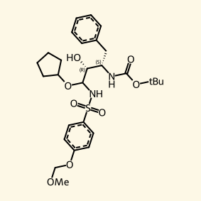 COCOc1ccc(S(=O)(=O)NC(OC2CCCC2)[C@H](O)[C@H](Cc2ccccc2)NC(=O)OC(C)(C)C)cc1